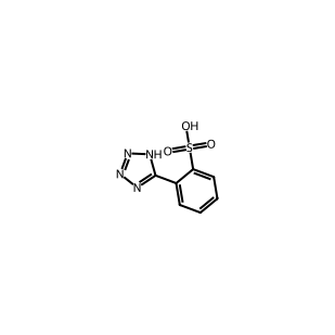 O=S(=O)(O)c1ccccc1-c1nnn[nH]1